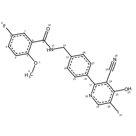 COc1ccc(F)cc1C(=O)NCc1ccc(-c2ncc(I)c(O)c2C#N)cc1